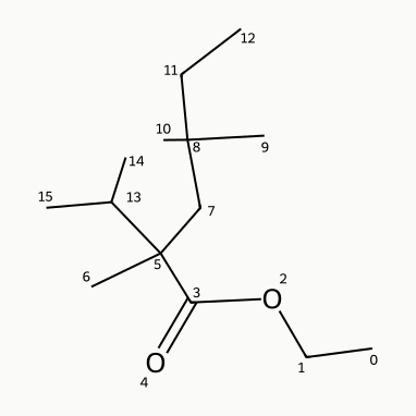 CCOC(=O)C(C)(CC(C)(C)CC)C(C)C